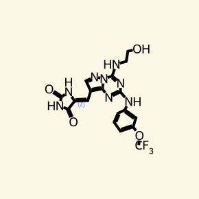 O=C1NC(=O)/C(=C/c2cnn3c(NCCO)nc(Nc4cccc(OC(F)(F)F)c4)nc23)N1